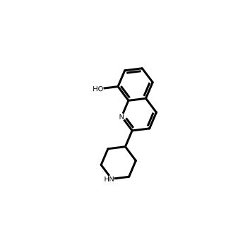 Oc1cccc2ccc(C3CCNCC3)nc12